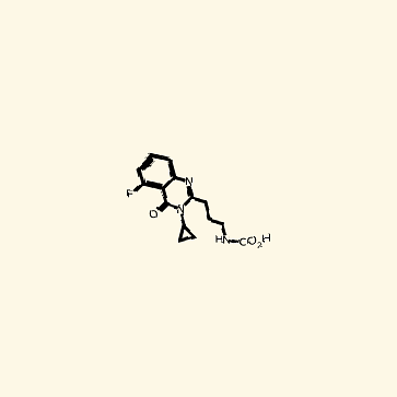 O=C(O)NCCCc1nc2cccc(F)c2c(=O)n1C1CC1